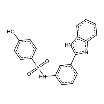 O=S(=O)(Nc1cccc(-c2nc3ccccc3[nH]2)c1)c1ccc(O)cc1